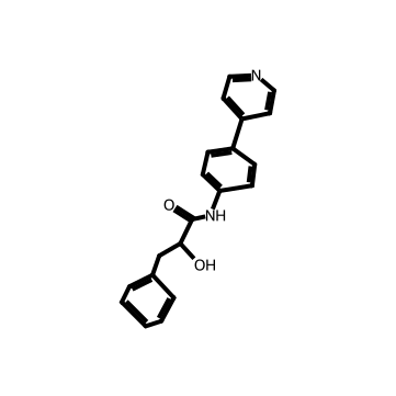 O=C(Nc1ccc(-c2ccncc2)cc1)C(O)Cc1ccccc1